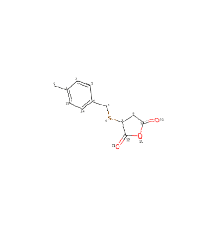 Cc1ccc(CSC2CC(=O)OC2=O)cc1